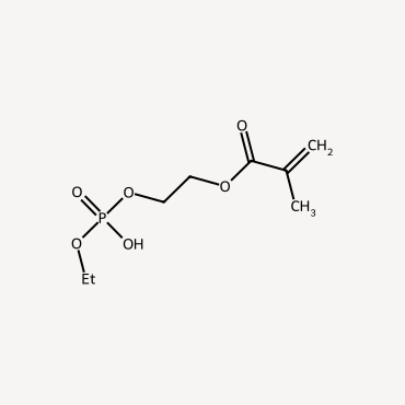 C=C(C)C(=O)OCCOP(=O)(O)OCC